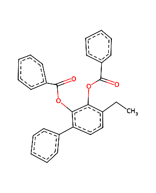 CCc1ccc(-c2ccccc2)c(OC(=O)c2ccccc2)c1OC(=O)c1ccccc1